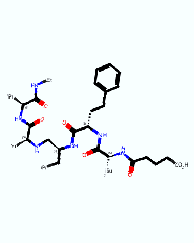 CCNC(=O)[C@@H](NC(=O)[C@H](CC)NC[C@H](CC(C)C)NC(=O)[C@H](CCc1ccccc1)NC(=O)[C@@H](NC(=O)CCCC(=O)O)[C@@H](C)CC)C(C)C